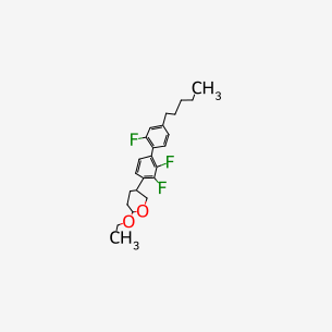 CCCCCc1ccc(-c2ccc(C3CCC(OCC)OC3)c(F)c2F)c(F)c1